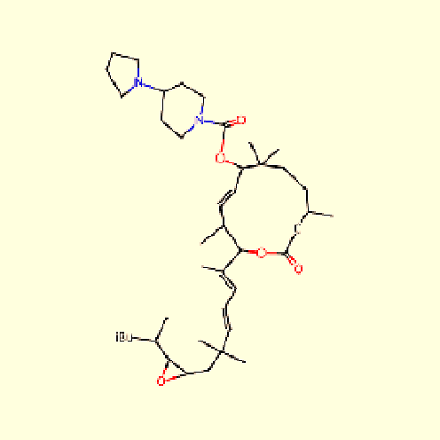 CCC(C)C(C)C1OC1CC(C)(C)/C=C/C=C(\C)C1OC(=O)CC(C)CCC(C)(C)C(OC(=O)N2CCC(N3CCCC3)CC2)/C=C/C1C